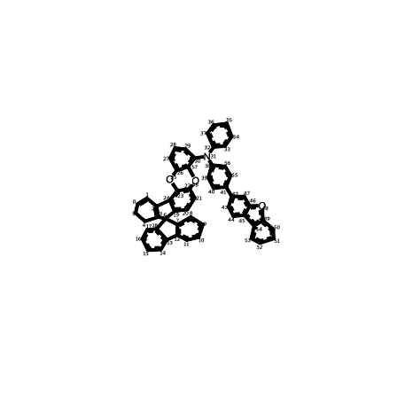 C1=CC2=C(CC1)C1(c3ccccc3-c3ccccc31)c1ccc3c(c12)Oc1cccc(N(c2ccccc2)c2ccc(-c4ccc5c(c4)oc4ccccc45)cc2)c1O3